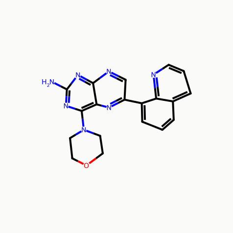 Nc1nc(N2CCOCC2)c2nc(-c3cccc4cccnc34)cnc2n1